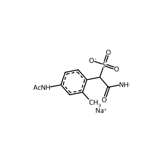 CC(=O)Nc1ccc(C(C([NH])=O)S(=O)(=O)[O-])c(C)c1.[Na+]